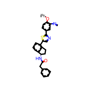 C=Nc1cc(-c2ncc(-c3cccc4c3CC[C@@H]4NC(=O)Cc3ccccc3)s2)ccc1OC(C)C